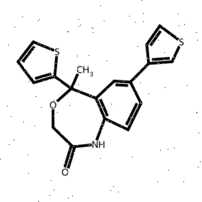 CC1(c2cccs2)OCC(=O)Nc2ccc(-c3ccsc3)cc21